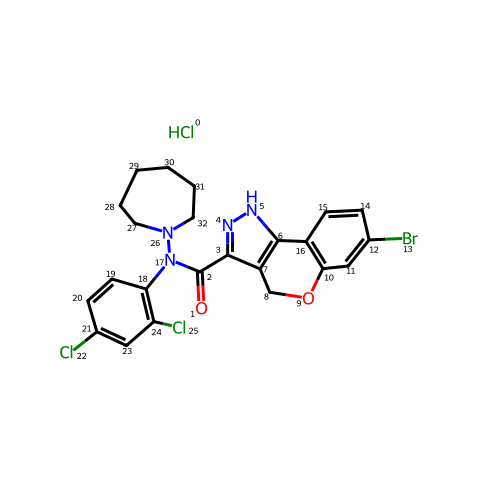 Cl.O=C(c1n[nH]c2c1COc1cc(Br)ccc1-2)N(c1ccc(Cl)cc1Cl)N1CCCCCC1